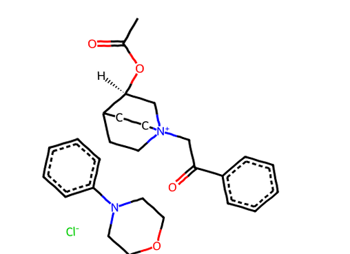 CC(=O)O[C@H]1C[N+]2(CC(=O)c3ccccc3)CCC1CC2.[Cl-].c1ccc(N2CCOCC2)cc1